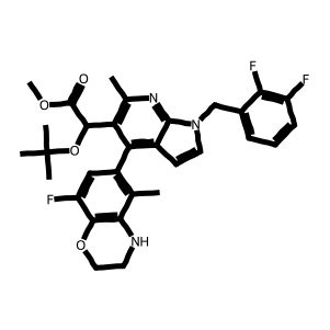 COC(=O)C(OC(C)(C)C)c1c(C)nc2c(ccn2Cc2cccc(F)c2F)c1-c1cc(F)c2c(c1C)NCCO2